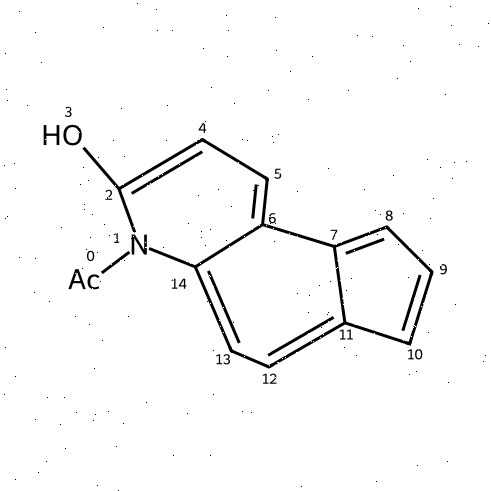 CC(=O)n1c(O)ccc2c3cccc3ccc21